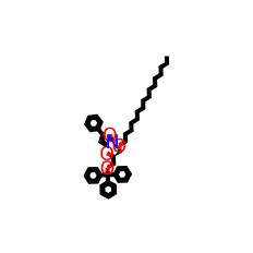 CCCCCCCCCCCCCCCCOC[C@@H](COC(c1ccccc1)(c1ccccc1)c1ccccc1)Oc1cc(-c2ccccc2)on1